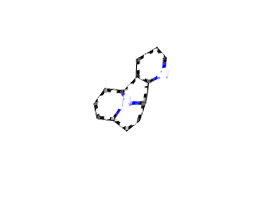 c1cnc2c(c1)c1cccc3ccc2n31